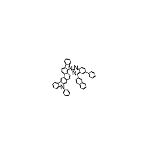 c1ccc(-c2ccc3nc(-n4c5ccccc5c5ccc6c7cc8c9ccccc9n(-c9ccccc9)c8cc7ccc6c54)nc(-c4ccc5ccccc5c4)c3c2)cc1